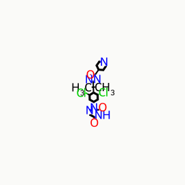 CC(C)(c1noc(-c2ccncc2)n1)c1c(Cl)cc(-n2ncc(=O)[nH]c2=O)cc1Cl